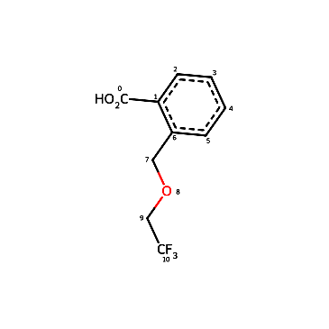 O=C(O)c1ccccc1COCC(F)(F)F